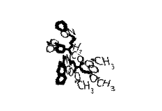 CCOC(=O)CC(C(=O)OCC)C(CC(=O)N(Cc1ccc2ccccc2c1)C(C)C(CC=Cc1nc2ccccc2o1)c1ccc2c(c1)OCO2)C(=O)OCC